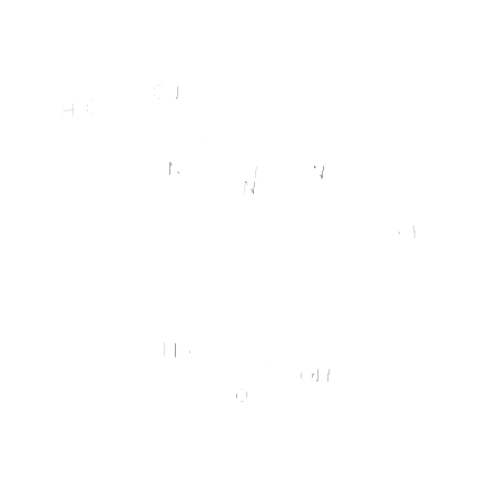 CC(C)CN(c1ccc(C(C)CC(=O)O)cc1Nc1ccc(Cl)cn1)C1CCCCC1